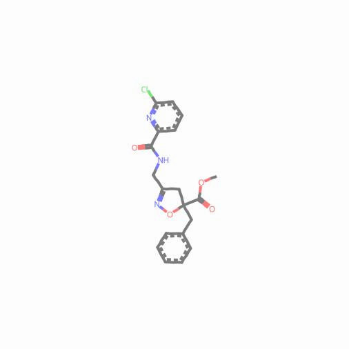 COC(=O)C1(Cc2ccccc2)CC(CNC(=O)c2cccc(Cl)n2)=NO1